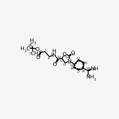 CC(C)(C)OC(=O)CCNC(=O)C1CN(c2ccc(C(=N)N)cc2)C(=O)O1